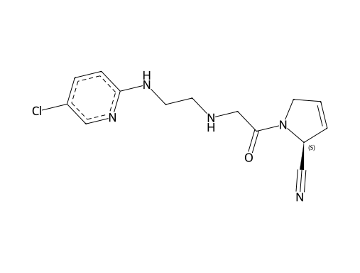 N#C[C@@H]1C=CCN1C(=O)CNCCNc1ccc(Cl)cn1